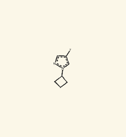 Fc1cnn(C2C[CH]C2)c1